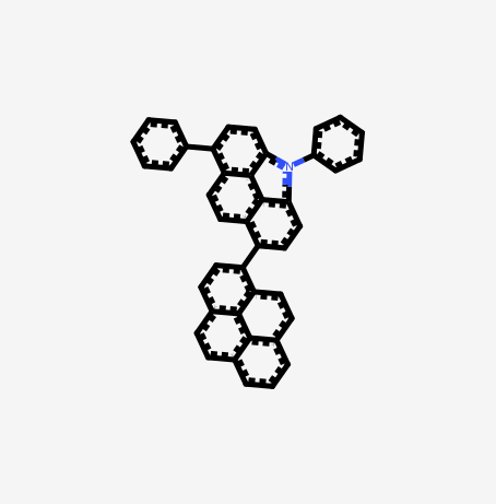 c1ccc(-c2ccc3c4c2ccc2c(-c5ccc6ccc7cccc8ccc5c6c78)ccc(c24)n3-c2ccccc2)cc1